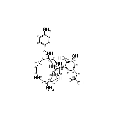 Nc1ccc(CNC23CNCCNCC(N)(CNCCNC2)CNCC(c2cc(CC(=O)O)cc(O)c2O)NC3)cc1